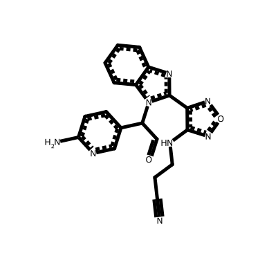 N#CCCNc1nonc1-c1nc2ccccc2n1C(C=O)c1ccc(N)nc1